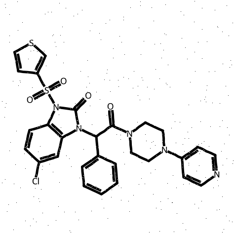 O=C(C(c1ccccc1)n1c(=O)n(S(=O)(=O)c2ccsc2)c2ccc(Cl)cc21)N1CCN(c2ccncc2)CC1